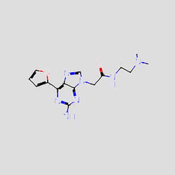 CN(C)CCNC(=O)Cn1cnc2c(-c3ccco3)nc(N)nc21